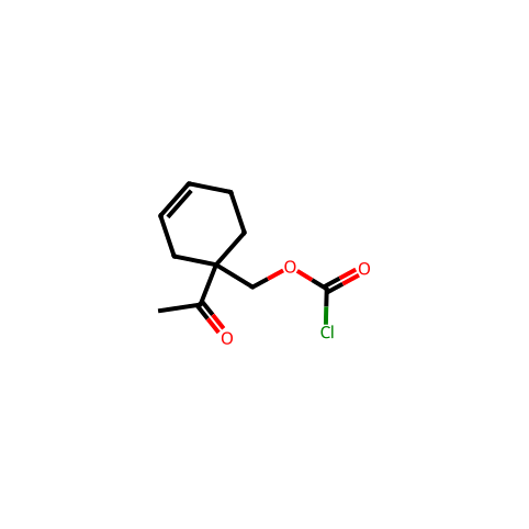 CC(=O)C1(COC(=O)Cl)CC=CCC1